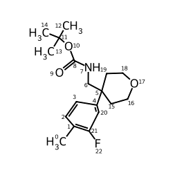 Cc1ccc(C2(CNC(=O)OC(C)(C)C)CCOCC2)cc1F